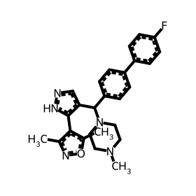 Cc1noc(C)c1-c1[nH]ncc1C(c1ccc(-c2ccc(F)cc2)cc1)N1CCN(C)CC1